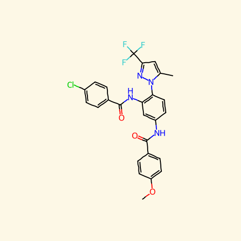 COc1ccc(C(=O)Nc2ccc(-n3nc(C(F)(F)F)cc3C)c(NC(=O)c3ccc(Cl)cc3)c2)cc1